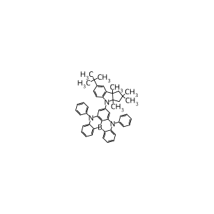 CC1(C)CC2(C)c3cc(C(C)(C)C)ccc3N(c3cc4c5c(c3)N(c3ccccc3)c3ccccc3B5c3ccccc3N4c3ccccc3)C2(C)C1